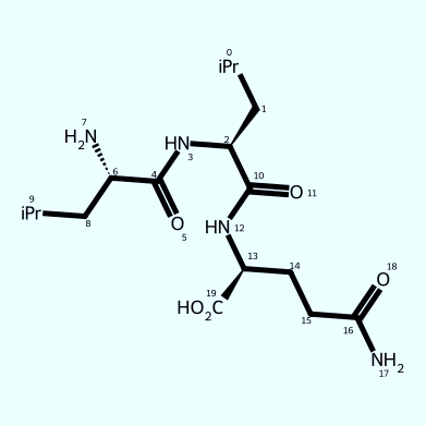 CC(C)C[C@H](NC(=O)[C@@H](N)CC(C)C)C(=O)N[C@@H](CCC(N)=O)C(=O)O